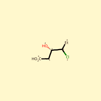 CCC(Cl)[C@@H](O)CC(=O)O